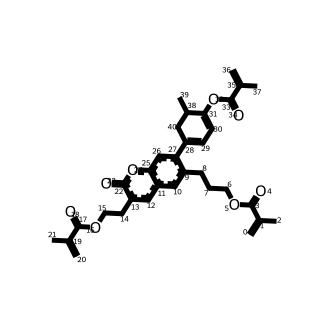 C=C(C)C(=O)OCCCc1cc2cc(CCOC(=O)C(=C)C)c(=O)oc2cc1C1=CC=C(OC(=O)C(=C)C)C(C)C1